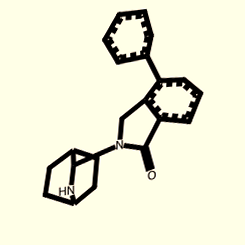 O=C1c2cccc(-c3ccccc3)c2CN1C1NC2CCC1CC2